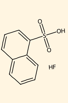 F.O=S(=O)(O)c1cccc2ccccc12